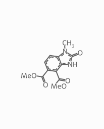 COC(=O)c1ccc2c([nH]c(=O)n2C)c1C(=O)OC